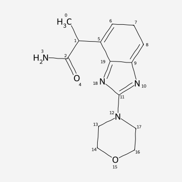 CC(C(N)=O)C1=CCC=C2N=C(N3CCOCC3)N=C21